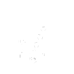 C=C(C)C(=O)OCC(CN)(COC(=O)C(=C)C)COc1c(CCCN)cc(-c2ccc(-c3ccc(C4CCC(CCCCC)CC4)cc3F)cc2CC)cc1CCCN